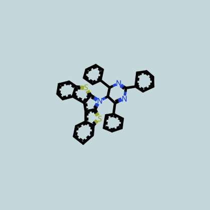 c1ccc(C2=NC(c3ccccc3)C(n3c4sc5ccccc5c4c4c5ccccc5sc43)C(c3ccccc3)=N2)cc1